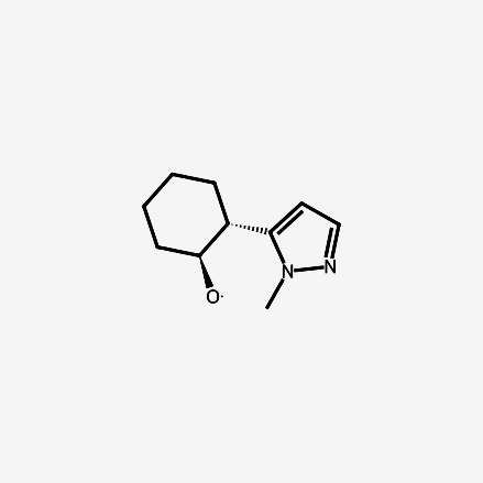 Cn1nccc1[C@H]1CCCC[C@@H]1[O]